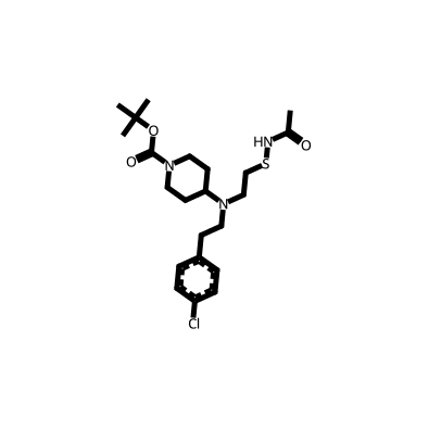 CC(=O)NSCCN(CCc1ccc(Cl)cc1)C1CCN(C(=O)OC(C)(C)C)CC1